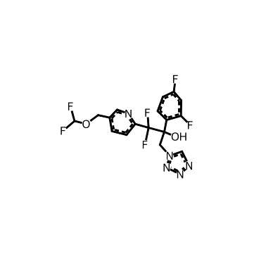 OC(Cn1cnnn1)(c1ccc(F)cc1F)C(F)(F)c1ccc(COC(F)F)cn1